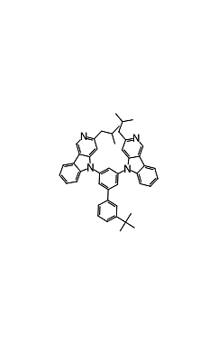 CC(C)Cc1cc2c(cn1)c1ccccc1n2-c1cc(-c2cccc(C(C)(C)C)c2)cc(-n2c3ccccc3c3cnc(CC(C)C)cc32)c1